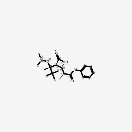 C[C@@H](C(=O)Sc1ccccc1)[C@H]1NC(=O)[C@@H]1[C@@](C)(O[SiH](C)C)C(C)(C)C